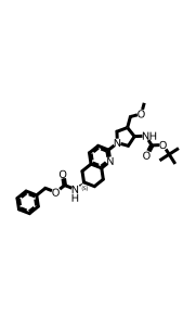 COCC1CN(c2ccc3c(n2)CC[C@H](NC(=O)OCc2ccccc2)C3)CC1NC(=O)OC(C)(C)C